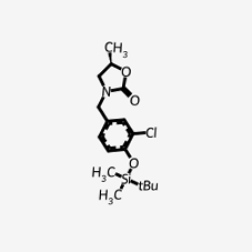 C[C@@H]1CN(Cc2ccc(O[Si](C)(C)C(C)(C)C)c(Cl)c2)C(=O)O1